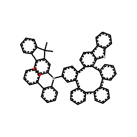 CC1(C)c2ccccc2-c2ccc(N(c3ccc4c(c3)c3ccccc3c3ccccc3c3ccccc3c3c4ccc4c5ccccc5sc43)c3ccccc3-c3ccccc3)cc21